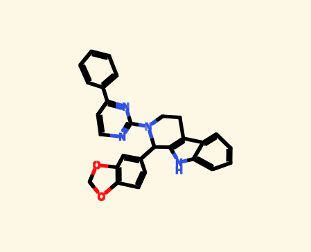 c1ccc(-c2ccnc(N3CCc4c([nH]c5ccccc45)C3c3ccc4c(c3)OCO4)n2)cc1